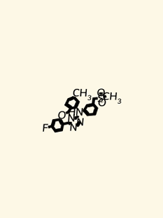 Cc1ccc(COc2cc(F)ccc2-c2ncnc(Nc3cccc(CS(C)(=O)=O)c3)n2)cc1